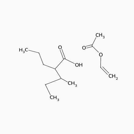 C=COC(C)=O.CCCC(C(=O)O)C(C)CC